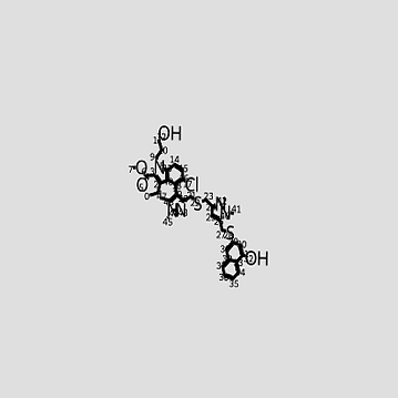 CCc1c(C(=O)OC)n(CCCO)c2ccc(Cl)c(-c3c(CSCc4cc(CSc5cc(O)c6ccccc6c5)n(C)n4)nn(C)c3C)c12